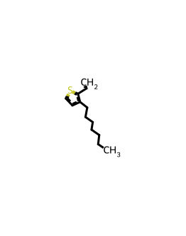 C=Cc1sccc1CCCCCCC